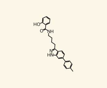 Cc1ccc(-c2ccc3c(CCCCNC(=O)c4ccccc4O)n[nH]c3c2)cc1